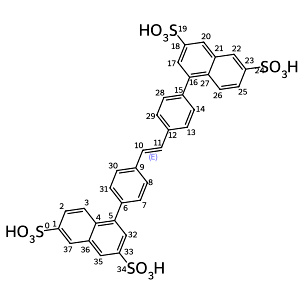 O=S(=O)(O)c1ccc2c(-c3ccc(/C=C/c4ccc(-c5cc(S(=O)(=O)O)cc6cc(S(=O)(=O)O)ccc56)cc4)cc3)cc(S(=O)(=O)O)cc2c1